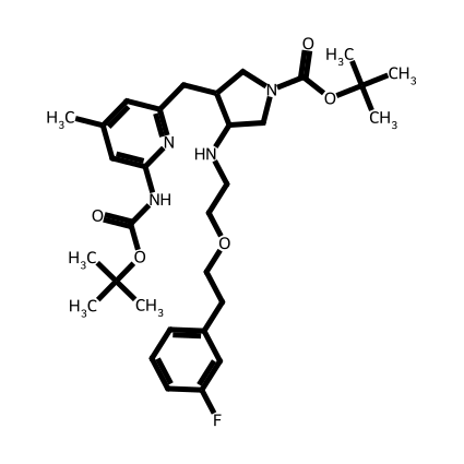 Cc1cc(CC2CN(C(=O)OC(C)(C)C)CC2NCCOCCc2cccc(F)c2)nc(NC(=O)OC(C)(C)C)c1